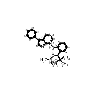 CC(C)C(C)(C)C(O[SiH](C)C)c1ccccc1Nn1cncc2c(-c3ccccc3)cnc1-2